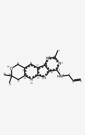 C=CCNc1nc(C)nc2c1sc1nc3c(cc12)COC(C)(C)C3